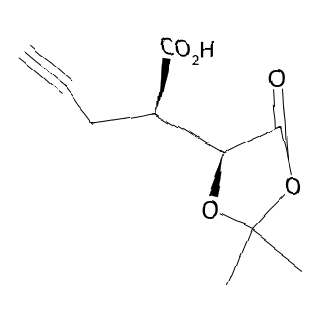 C#CC[C@@H](C(=O)O)[C@@H]1OC(C)(C)OC1=O